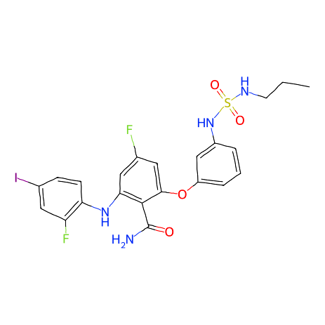 CCCNS(=O)(=O)Nc1cccc(Oc2cc(F)cc(Nc3ccc(I)cc3F)c2C(N)=O)c1